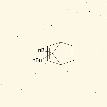 CCCCC1(CCCC)C2C=CC1C=C2